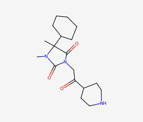 CN1C(=O)N(CC(=O)C2CCNCC2)C(=O)C1(C)C1CCCCC1